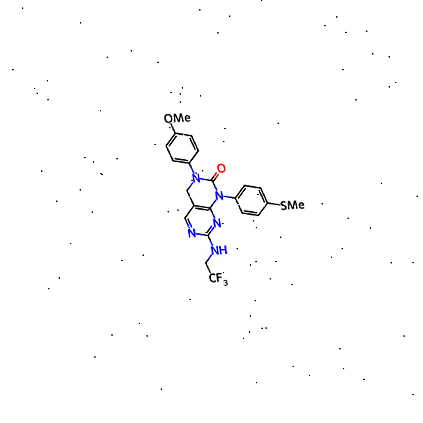 COc1ccc(N2Cc3cnc(NCC(F)(F)F)nc3N(c3ccc(SC)cc3)C2=O)cc1